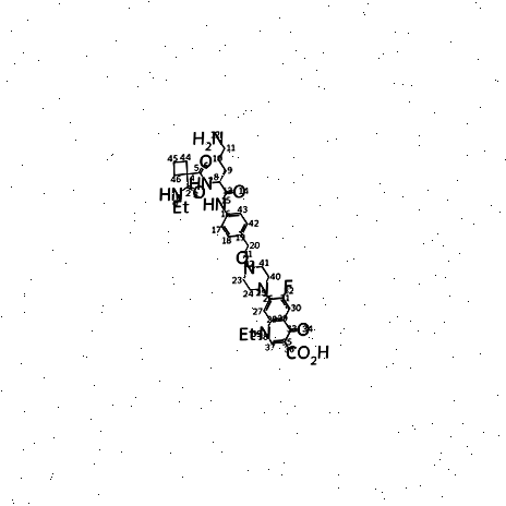 CCNC(=O)C1(C(=O)N[C@@H](CCCN)C(=O)Nc2ccc(CON3CCN(c4cc5c(cc4F)c(=O)c(C(=O)O)cn5CC)CC3)cc2)CCC1